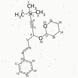 C[Si](C)(C)C#CC(CC=Cc1ccccc1)OC1CCCCO1